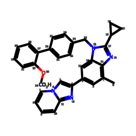 Cc1cc(-c2cn3ccccc3n2)cc2c1nc(C1CC1)n2Cc1ccc(-c2ccccc2OC(=O)O)cc1